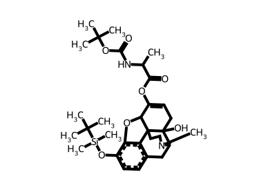 CC(NC(=O)OC(C)(C)C)C(=O)OC1=CCC2(O)C3Cc4ccc(O[Si](C)(C)C(C)(C)C)c5c4C2(CCN3C)C1O5